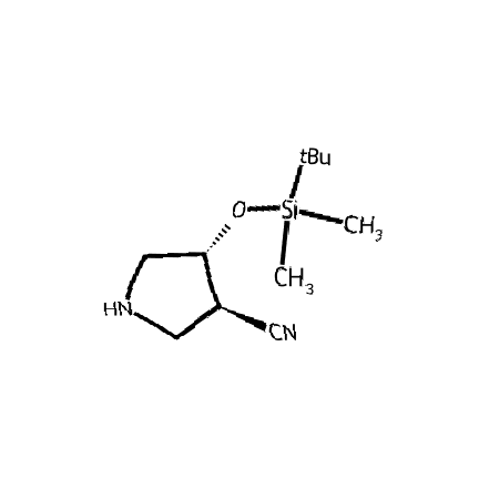 CC(C)(C)[Si](C)(C)O[C@H]1CNC[C@@H]1C#N